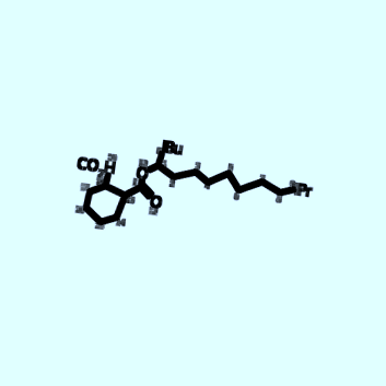 CCC(C)C(CCCCCCCC(C)C)OC(=O)C1CCCCC1C(=O)O